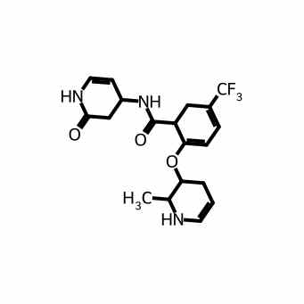 CC1NC=CCC1OC1=CC=C(C(F)(F)F)CC1C(=O)NC1C=CNC(=O)C1